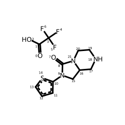 O=C(O)C(F)(F)F.O=C1N(c2cccs2)CC2CNCCN12